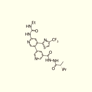 CCNC(=O)Nc1cc(-c2nc(C(F)(F)F)cs2)c(-c2cncc(C(=O)NNC(=O)[C@H](C)C(C)C)c2)cn1